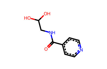 O=C(NCC(O)O)c1ccncc1